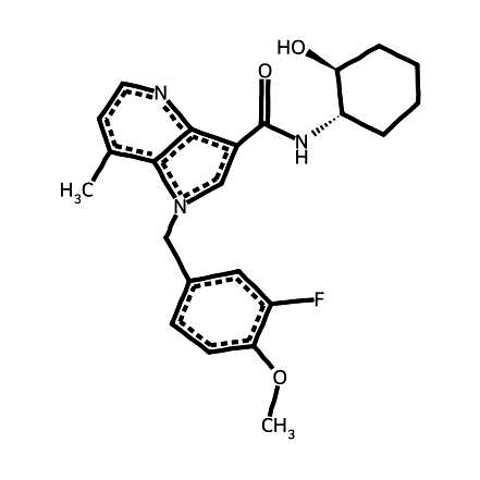 COc1ccc(Cn2cc(C(=O)N[C@H]3CCCC[C@@H]3O)c3nccc(C)c32)cc1F